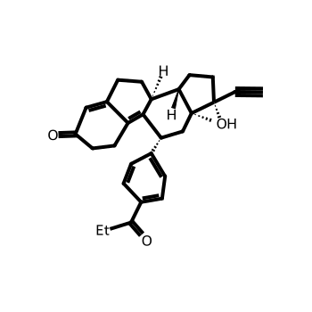 C#C[C@]1(O)CC[C@H]2[C@@H]3CCC4=CC(=O)CCC4=C3[C@@H](c3ccc(C(=O)CC)cc3)C[C@@]21C